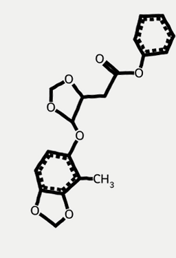 Cc1c(OC2OCOC2CC(=O)Oc2ccccc2)ccc2c1OCO2